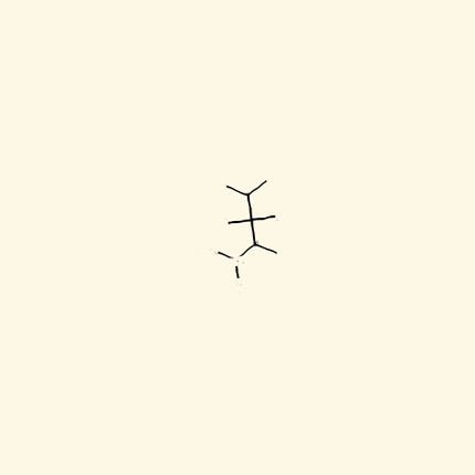 CC(C)C(C)(C)C(C)N(N)N